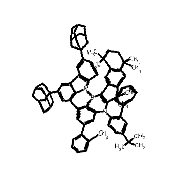 Cc1ccccc1-c1cc2c3c(c1)N(c1ccc(C(C)(C)C)cc1-c1ccccc1)C1=C(B3n3c4ccc(C56CC7CC(CC(C7)C5)C6)cc4c4cc(C56CC7CC(CC(C7)C5)C6)cc-2c43)c2cc3c(cc2C1(C)C)C(C)(C)CCC3(C)C